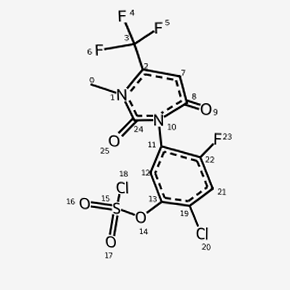 Cn1c(C(F)(F)F)cc(=O)n(-c2cc(OS(=O)(=O)Cl)c(Cl)cc2F)c1=O